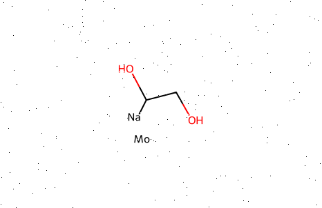 OC[CH](O)[Na].[Mo]